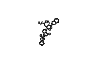 CC(C)CC(CC(=O)N1CC2C=CC=CC2C1)C(=O)N1CCC2C1C(=O)CN2S(=O)(=O)Cc1ccccn1